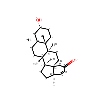 C[C@]12CC[C@@H](O)C[C@@H]1CC[C@@H]1[C@@H]2CC[C@@]23CC(=O)C=C[C@H]2CC[C@@H]13